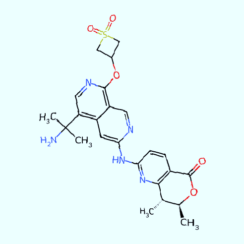 C[C@@H]1OC(=O)c2ccc(Nc3cc4c(C(C)(C)N)cnc(OC5CS(=O)(=O)C5)c4cn3)nc2[C@H]1C